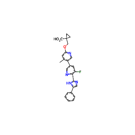 Cc1cc(OCC2(C(=O)O)CC2)ncc1-c1cnc(-c2ncc(-c3ccccc3)[nH]2)c(F)c1